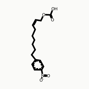 O=C(O)OC/C=C\CCCCCCc1ccc([N+](=O)[O-])cc1